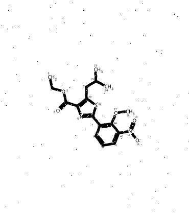 CCOC(=O)c1nc(-c2cccc([N+](=O)[O-])c2OC)sc1CC(C)C